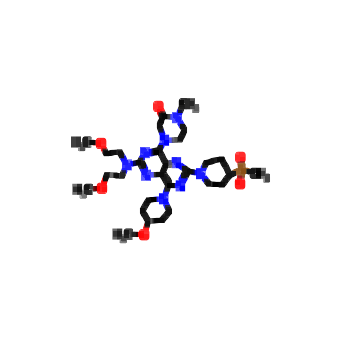 COCCN(CCOC)c1nc(N2CCN(C)C(=O)C2)c2nc(N3CCC(S(C)(=O)=O)CC3)nc(N3CCC(OC)CC3)c2n1